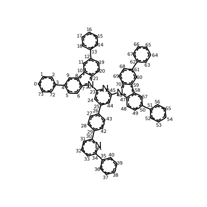 c1ccc(-c2ccc3c(c2)c2cc(-c4ccccc4)ccc2n3-c2cc(-c3ccc(-c4cccc(-c5ccccc5)n4)cc3)cc(-n3c4ccc(-c5ccccc5)cc4c4cc(-c5ccccc5)ccc43)n2)cc1